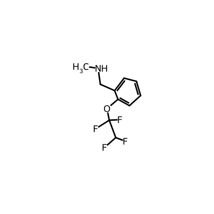 CNCc1ccccc1OC(F)(F)C(F)F